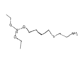 CCO[SiH](OCC)OCCCCSCCN